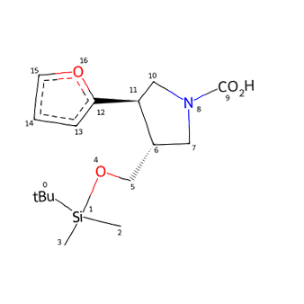 CC(C)(C)[Si](C)(C)OC[C@H]1CN(C(=O)O)C[C@@H]1c1ccco1